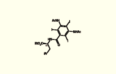 CCOC(=O)[C@H](CC(C)C)NC(=O)c1c(I)c(NC(C)=O)c(I)c(NC(C)=O)c1I